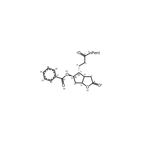 CCCCCC(=O)CC[C@@H]1C2CC(=O)OC2C[C@H]1OC(=O)c1ccccc1